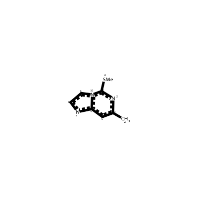 CSc1nc(C)cc2nccn12